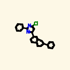 Clc1cc(-c2ccc3ccc(-c4ccccc4)cc3c2)nc(-c2ccccc2)n1